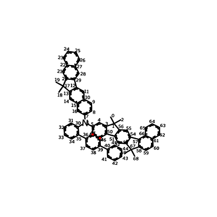 CC1(C)c2cc(N(c3ccc4cc5c(cc4c3)C(C)(C)c3cc4ccccc4cc3-5)c3ccccc3-c3ccc(-c4ccccc4)cc3)ccc2-c2cc3c(cc21)-c1c(ccc2ccccc12)C3(C)C